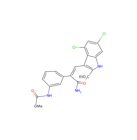 CCOC(=O)c1[nH]c2cc(Cl)cc(Cl)c2c1/C=C(\C(N)=O)c1cccc(NC(=O)OC)c1